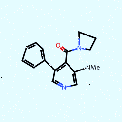 CNc1cn[c]c(-c2ccccc2)c1C(=O)N1CCC1